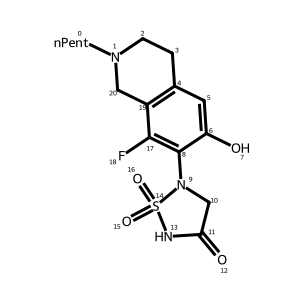 CCCCCN1CCc2cc(O)c(N3CC(=O)NS3(=O)=O)c(F)c2C1